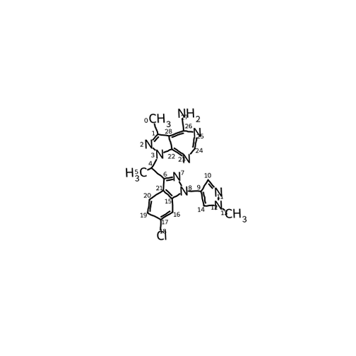 Cc1nn(C(C)c2nn(-c3cnn(C)c3)c3cc(Cl)ccc23)c2ncnc(N)c12